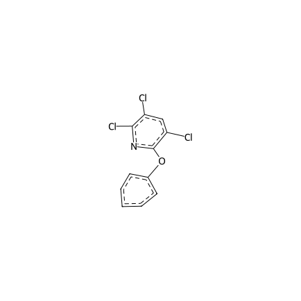 Clc1cc(Cl)c(Oc2ccccc2)nc1Cl